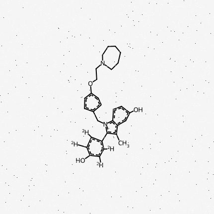 [2H]c1c([2H])c(-c2c(C)c3cc(O)ccc3n2Cc2ccc(OCCN3CCCCCC3)cc2)c([2H])c([2H])c1O